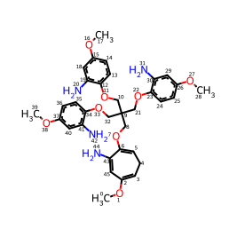 COC1=CCC=C(OCC(COc2ccc(OC)cc2N)(COc2ccc(OC)cc2N)COc2ccc(OC)cc2N)C(N)=C1